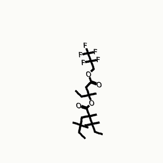 CCC(C)(C)CC(C)(C(=O)OC(C)(CC)CC(=O)OCC(F)(F)C(F)(F)F)C(C)(C)CC